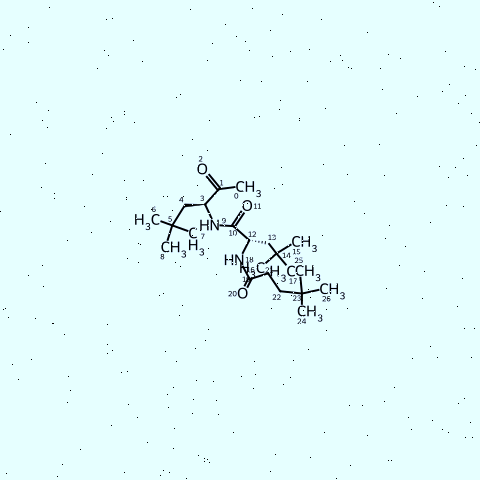 CC(=O)[C@H](CC(C)(C)C)NC(=O)[C@H](CC(C)(C)C)NC(=O)CCC(C)(C)C